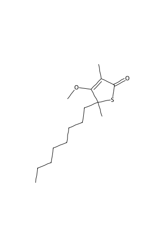 CCCCCCCCC1(C)SC(=O)C(C)=C1OC